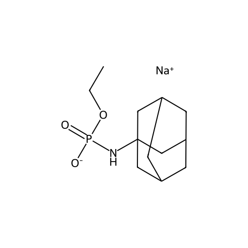 CCOP(=O)([O-])NC12CC3CC(CC(C3)C1)C2.[Na+]